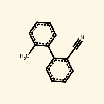 Cc1c[c]ccc1-c1ccccc1C#N